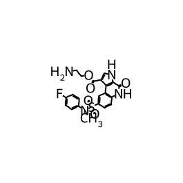 CN(c1ccc(F)cc1)S(=O)(=O)c1ccc2[nH]c(=O)c3[nH]cc(C(=O)OCCN)c3c2c1